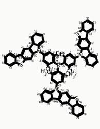 Cc1cc(-n2c3ccccc3c3cc4c(cc32)sc2ccccc24)cc(C)c1B(c1c(C)cc(-n2c3ccccc3c3cc4c(cc32)sc2ccccc24)cc1C)c1c(C)cc(-n2c3ccccc3c3cc4c(cc32)sc2ccccc24)cc1C